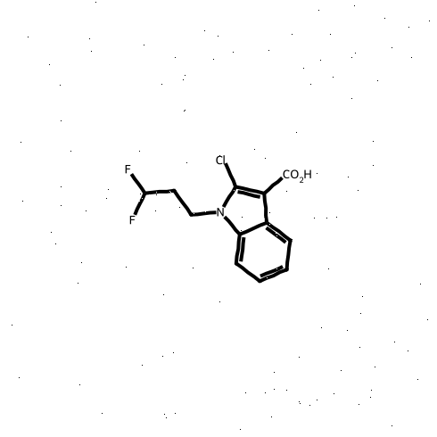 O=C(O)c1c(Cl)n(CCC(F)F)c2ccccc12